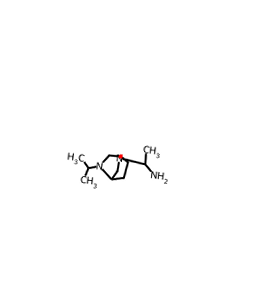 CC(C)N1CC2CCC1CN2C(C)N